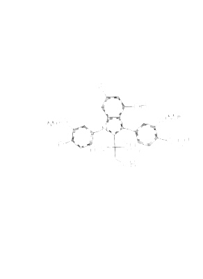 COc1cc(-n2c(C(C)(C)CO)c(-c3ccc(C(=O)O)c(OC)c3)c3c(O)cc(F)cc32)ccc1F